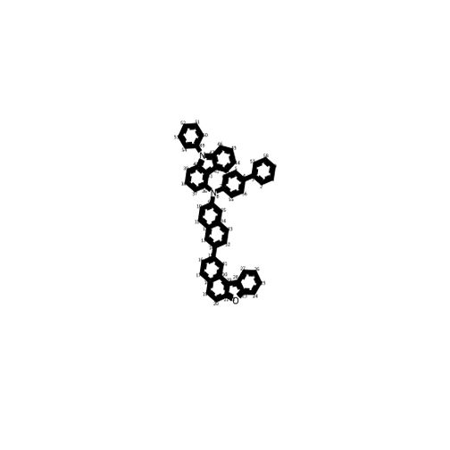 c1ccc(-c2ccc(N(c3ccc4cc(-c5ccc6ccc7oc8ccccc8c7c6c5)ccc4c3)c3cccc4c3c3ccccc3n4-c3ccccc3)cc2)cc1